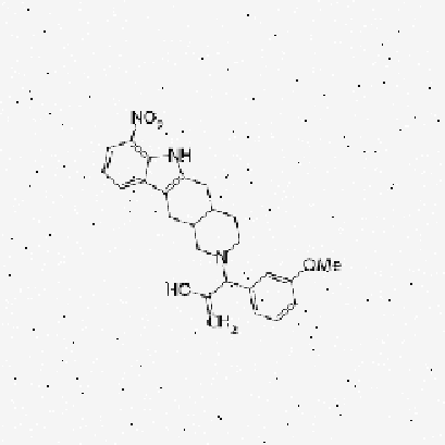 C=C(O)C(c1cccc(OC)c1)N1CCC2Cc3[nH]c4c([N+](=O)[O-])cccc4c3CC2C1